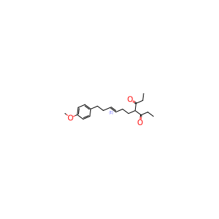 CCC(=O)C(CC/C=C/CCc1ccc(OC)cc1)C(=O)CC